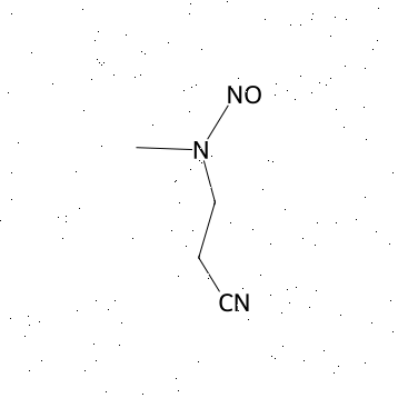 CN(CCC#N)N=O